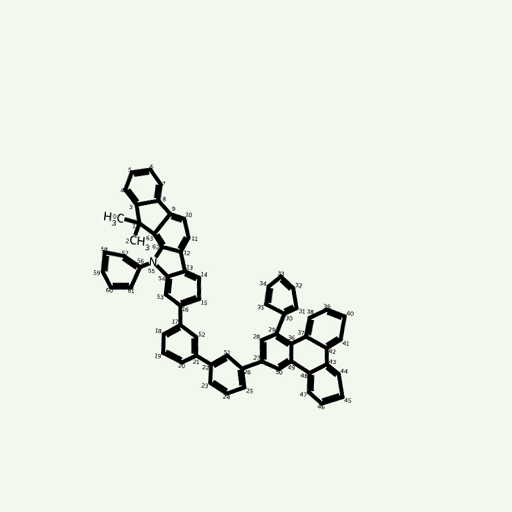 CC1(C)c2ccccc2-c2ccc3c4ccc(-c5cccc(-c6cccc(-c7cc(-c8ccccc8)c8c9ccccc9c9ccccc9c8c7)c6)c5)cc4n(-c4ccccc4)c3c21